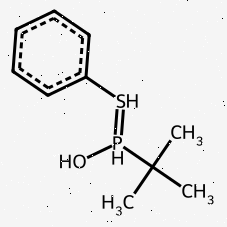 CC(C)(C)[PH](O)=[SH]c1ccccc1